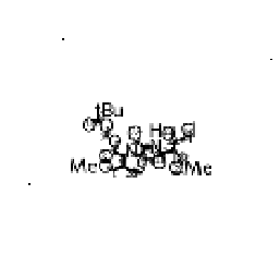 COCC1=C(C(=O)OCOC(=O)C(C)(C)C)N2C(=O)C(NC(=O)/C(=N\OC)C(=O)CCl)[C@H]2SC1